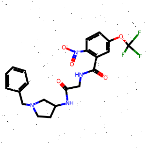 O=C(CNC(=O)c1cc(OC(F)(F)F)ccc1[N+](=O)[O-])NC1CCN(Cc2ccccc2)C1